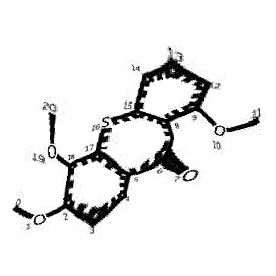 COc1ccc2c(=O)c3c(OC)cccc3sc2c1OC